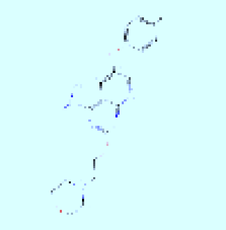 CCCN(CCC)c1nc(OCCN2CCOCC2)nc2ncc(Oc3ccc(C)cc3)cc12